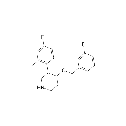 Cc1cc(F)ccc1C1CNCCC1OCc1cccc(F)c1